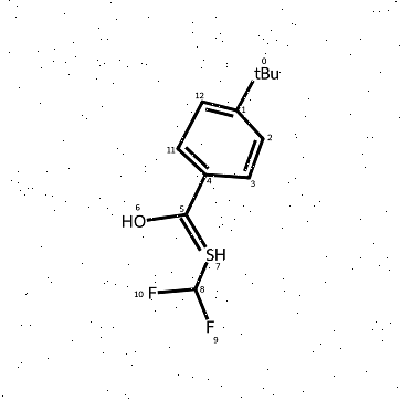 CC(C)(C)c1ccc(C(O)=[SH]C(F)F)cc1